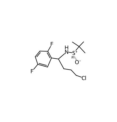 CC(C)(C)[S@+]([O-])NC(CCCCl)c1cc(F)ccc1F